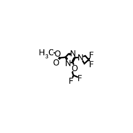 COC(=O)c1cnc(N2CC(F)(F)C2)c(OCC(F)F)n1